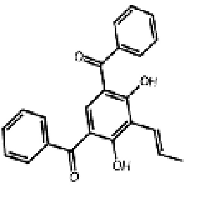 CC=Cc1c(O)c(C(=O)c2ccccc2)cc(C(=O)c2ccccc2)c1O